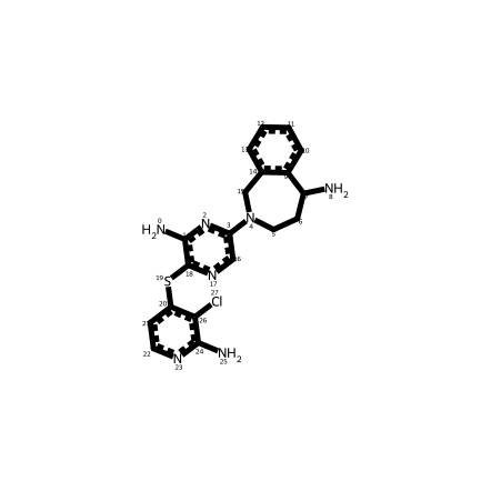 Nc1nc(N2CCC(N)c3ccccc3C2)cnc1Sc1ccnc(N)c1Cl